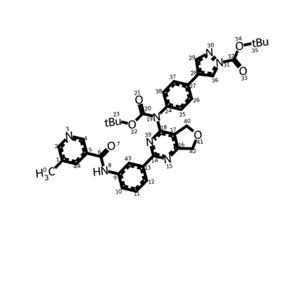 Cc1cncc(C(=O)Nc2cccc(-c3nc4c(c(N(C(=O)OC(C)(C)C)c5ccc(-c6cnn(C(=O)OC(C)(C)C)c6)cc5)n3)COC4)c2)c1